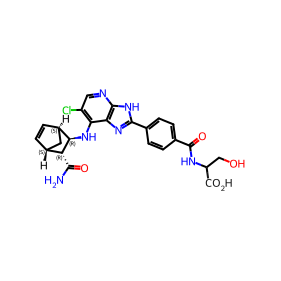 NC(=O)[C@H]1[C@H](Nc2c(Cl)cnc3[nH]c(-c4ccc(C(=O)NC(CO)C(=O)O)cc4)nc23)[C@@H]2C=C[C@@H]1C2